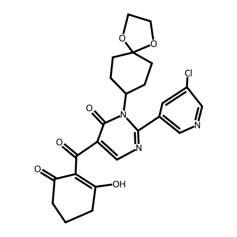 O=C1CCCC(O)=C1C(=O)c1cnc(-c2cncc(Cl)c2)n(C2CCC3(CC2)OCCO3)c1=O